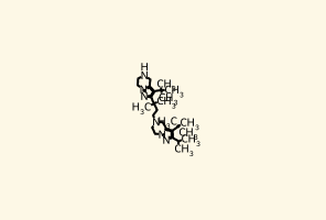 CC(C)c1nn2c(c1C(C)(C)C)CN(CCC(C)(C)c1nn3c(c1C(C)(C)C)CNCC3)CC2